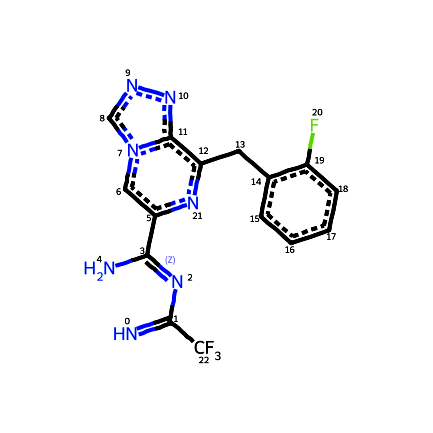 N=C(/N=C(\N)c1cn2cnnc2c(Cc2ccccc2F)n1)C(F)(F)F